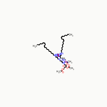 CCCCC/C=C\C/C=C\CCCCCCCCN/C=C(/CN(C/C(=C/NCCCCCCCC/C=C\C/C=C\CCCCC)N=N)C/C(=C/N(N)[C@@H]1O[C@H](COC(C)=O)C(OC(C)=O)C1OC(C)=O)NC)N=N